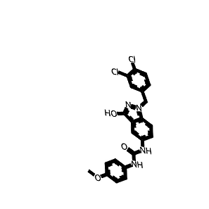 COc1ccc(NC(=O)Nc2ccc3c(c2)c(O)nn3Cc2ccc(Cl)c(Cl)c2)cc1